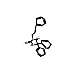 N=C1NC(C2=CCCC=C2)(c2ccccc2)C(=O)N1CCCc1ccccc1